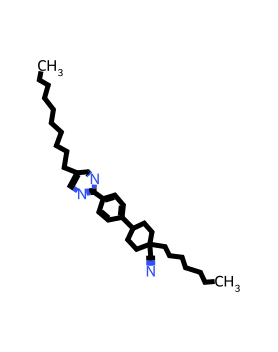 CCCCCCCCCCc1cnc(-c2ccc(C3CCC(C#N)(CCCCCCC)CC3)cc2)nc1